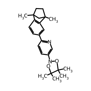 CC12CCC(C)(C1)c1cc(-c3ccc(N4OC(C)(C)C(C)(C)O4)cn3)ccc12